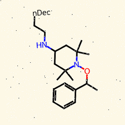 CCCCCCCCCCCCNC1CC(C)(C)N(OC(C)c2ccccc2)C(C)(C)C1